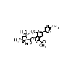 BB[C@@H]1C[C@@]2(C)C[C@H]2N1C(=O)Cn1nc(C(C)=O)c2cc(-c3cnc(C)nc3)nc(C)c21